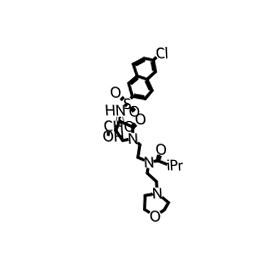 CC(C)C(=O)N(CCN1CCOCC1)CCN1CC[C@H](NS(=O)(=O)c2ccc3cc(Cl)ccc3c2)C1=O.O=CO